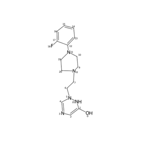 OC1=CN=CN(CCN2CCN(c3ccccc3F)CC2)N1